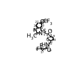 Cc1nc(SCC(=O)c2ccc(CNC(=O)C3CC3(F)F)s2)c2cc(OC(F)(F)F)ccc2n1